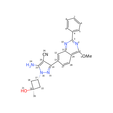 COc1nc(-c2ccccc2)nc2cc(-c3nn([C@H]4C[C@](C)(O)C4)c(N)c3C#N)ccc12